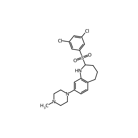 CN1CCN(c2ccc3c(c2)NC(S(=O)(=O)c2cc(Cl)cc(Cl)c2)CCC3)CC1